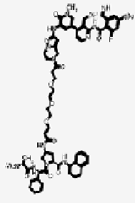 CN[C@@H](C)C(=O)N[C@H](C(=O)N1C[C@@H](NC(=O)CCOCCOCCOCCC(=O)N2CCn3nc(Nc4cc(-c5ccnc(NC(=O)c6c(F)cc(C(C)(C)C)cc6C=N)c5CO)cn(C)c4=O)cc3C2)C[C@H]1C(=O)NC1CCCc2ccccc21)C1CCCCC1